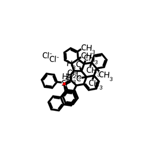 CC1=Cc2c(ccc3ccccc23)C1C1=CC=CC2(C)C3(C)C=CC=CC3(C)C3(C)C4(C)C(C)=CC=CC4[CH]([Zr+2][SiH](c4ccccc4)c4ccccc4)C3(C)C12C.[Cl-].[Cl-]